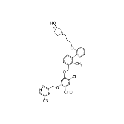 Cc1c(COc2cc(OCc3cncc(C#N)c3)c(C=O)cc2Cl)cccc1-c1ccccc1OCCCN1CC[C@@H](O)C1